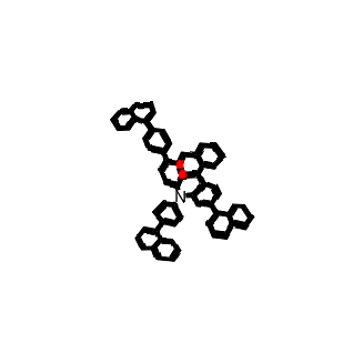 c1ccc2c(-c3ccc(-c4ccc(N(c5ccc(-c6cccc7ccccc67)cc5)c5cc(-c6cccc7ccccc67)ccc5-c5cccc6ccccc56)cc4)cc3)cccc2c1